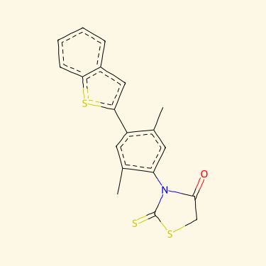 Cc1cc(N2C(=O)CSC2=S)c(C)cc1-c1cc2ccccc2s1